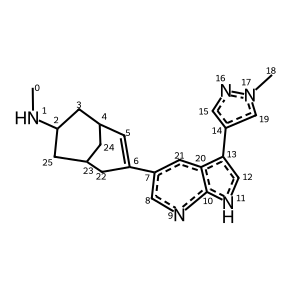 CNC1CC2C=C(c3cnc4[nH]cc(-c5cnn(C)c5)c4c3)CC(C2)C1